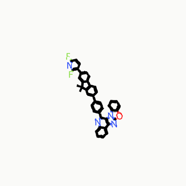 CC1(C)c2cc(-c3ccc(-c4nc5ccccc5c5nc6oc7ccccc7n6c45)cc3)ccc2-c2ccc(-c3ccc(F)nc3F)cc21